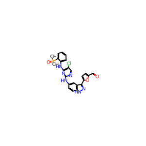 CP(C)(=O)c1ccccc1Nc1nc(Nc2ccc3[nH]nc(-c4ccc(C=O)o4)c3c2)ncc1Cl